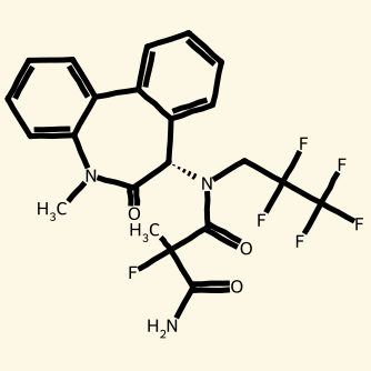 CN1C(=O)[C@@H](N(CC(F)(F)C(F)(F)F)C(=O)C(C)(F)C(N)=O)c2ccccc2-c2ccccc21